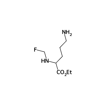 CCOC(=O)C(CCCN)NCF